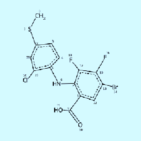 CSc1ccc(Nc2c(C(=O)O)cc(Br)c(F)c2F)c(Cl)c1